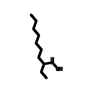 CCCCCCCC(CC)NO